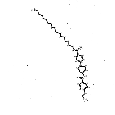 CCCCCCCCCCCCCCCCCCOC(C)c1ccc(-c2ccc(OC(=O)c3ccc(CCC)cc3)cc2)cc1